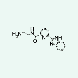 NCCNC(=O)c1cccc(-c2nc3ccccc3[nH]2)n1